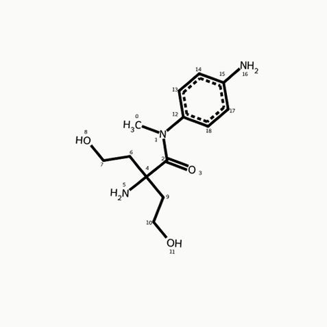 CN(C(=O)C(N)(CCO)CCO)c1ccc(N)cc1